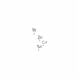 [Cu].[Sn].[W].[Zn]